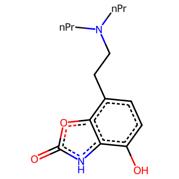 CCCN(CCC)CCc1ccc(O)c2[nH]c(=O)oc12